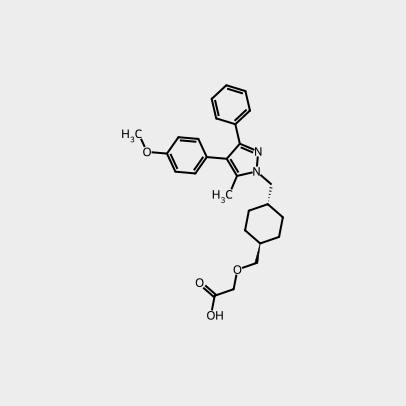 COc1ccc(-c2c(-c3ccccc3)nn(C[C@H]3CC[C@H](COCC(=O)O)CC3)c2C)cc1